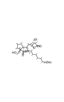 CCCCCCCCCCCCCCCCCC(C[C@@H]1OC(=O)[C@H]1CC)C1CCC[C@]1(C(N)=O)C(=O)O